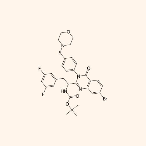 CC(C)(C)OC(=O)NC(Cc1cc(F)cc(F)c1)c1nc2cc(Br)ccc2c(=O)n1-c1ccc(SN2CCOCC2)cc1